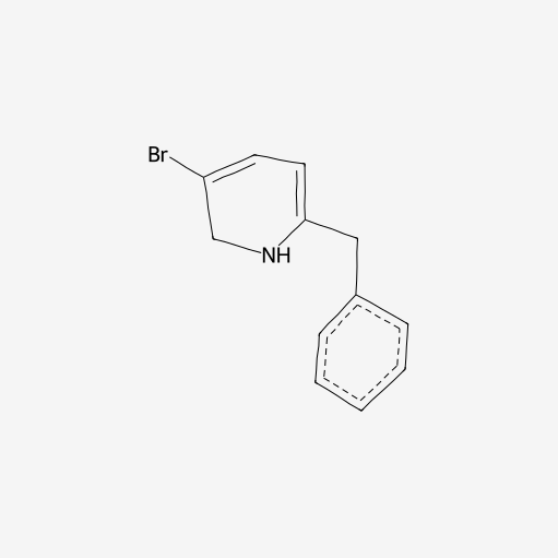 BrC1=CC=C(Cc2ccccc2)NC1